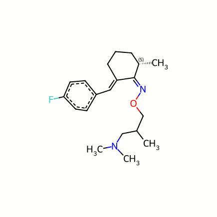 CC(CON=C1C(=Cc2ccc(F)cc2)CCC[C@@H]1C)CN(C)C